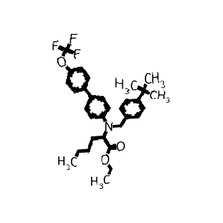 CCCCC(C(=O)OCC)N(Cc1ccc(C(C)(C)C)cc1)c1ccc(-c2ccc(OC(F)(F)F)cc2)cc1